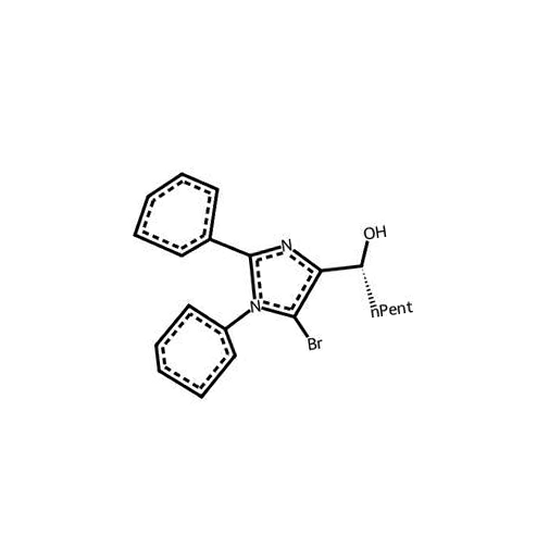 CCCCC[C@@H](O)c1nc(-c2ccccc2)n(-c2ccccc2)c1Br